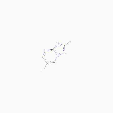 Cc1nc2ncc(Br)cn2n1